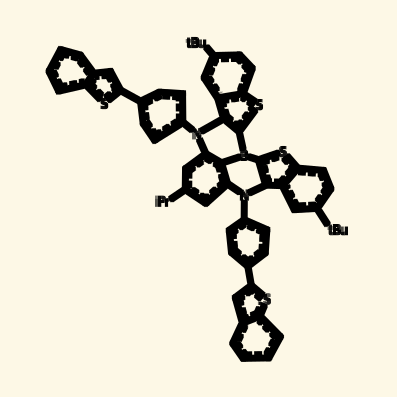 CC(C)c1cc2c3c(c1)N(c1ccc(-c4cc5ccccc5s4)cc1)c1c(sc4ccc(C(C)(C)C)cc14)B3c1sc3ccc(C(C)(C)C)cc3c1N2c1ccc(-c2cc3ccccc3s2)cc1